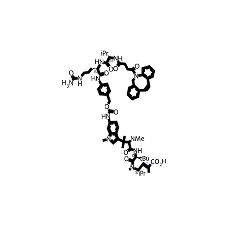 CNC(C(=O)N[C@H](C(=O)N(C)[C@H](/C=C(\C)C(=O)O)C(C)C)C(C)(C)C)C(C)(C)c1cn(C)c2cc(NC(=O)OCc3ccc(NC(=O)[C@H](CCCNC(N)=O)NC(=O)[C@@H](NC(=O)CCC(=O)N4Cc5ccccc5C#Cc5ccccc54)C(C)C)cc3)ccc12